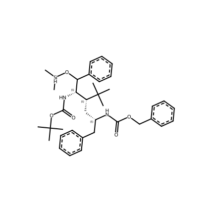 C[SiH](C)OC(c1ccccc1)[C@@H](NC(=O)OC(C)(C)C)[C@@H](C[C@@H](Cc1ccccc1)NC(=O)OCc1ccccc1)C(C)(C)C